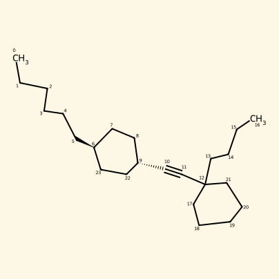 CCCCCC[C@H]1CC[C@H](C#CC2(CCCC)CCCCC2)CC1